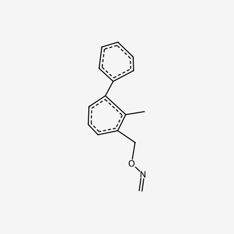 C=NOCc1cccc(-c2ccccc2)c1C